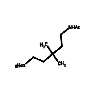 CCCCCCCCC(C)(C)CCNC(C)=O